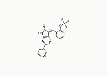 O=C1Nc2cc(-c3cccnc3)ccc2/C1=C\c1ccccc1OC(F)(F)F